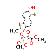 COC(=O)[C@@H]1OC(c2ccc3c(Br)c(O)ccc3c2)(C(C)Br)O[C@H]1C(=O)OC